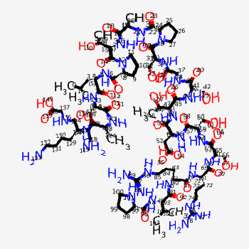 CC(C)C[C@H](NC(=O)[C@@H]1CCCN1C(=O)[C@@H](NC(=O)[C@H](C)NC(=O)[C@@H]1CCCN1C(=O)[C@H](CO)NC(=O)CNC(=O)[C@H](CO)NC(=O)[C@@H](NC(=O)[C@H](CC(=O)O)NC(=O)[C@H](CO)NC(=O)[C@H](CO)NC(=O)[C@H](CCCNC(=N)N)NC(=O)[C@H](CCCNC(=N)N)NC(=O)[C@@H](NC(=O)[C@@H]1CCCN1)C(C)C)[C@@H](C)O)[C@@H](C)O)C(=O)N[C@@H](CCCCN)C(=O)N[C@@H](C)C(=O)N[C@@H](CCCCN)C(=O)NCC(=O)O